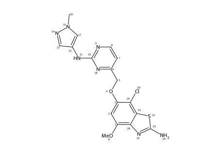 COc1cc(OCc2ccnc(Nc3cnn(C)c3)n2)c(Cl)c2sc(N)nc12